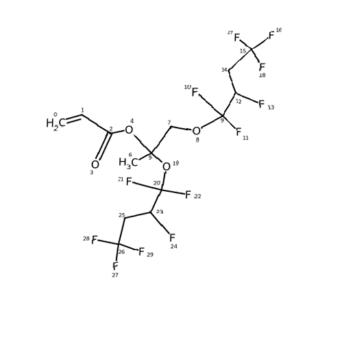 C=CC(=O)OC(C)(COC(F)(F)C(F)CC(F)(F)F)OC(F)(F)C(F)CC(F)(F)F